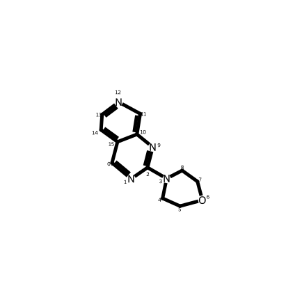 [c]1nc(N2CCOCC2)nc2cnccc12